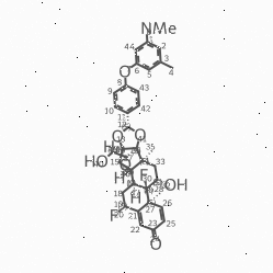 CNc1cc(C)cc(Oc2ccc([C@H]3O[C@@H]4C[C@H]5[C@@H]6C[C@H](F)C7=CC(=O)C=C[C@]7(C)[C@@]6(F)[C@@H](O)C[C@]5(C)[C@]4(C(=O)CO)O3)cc2)c1